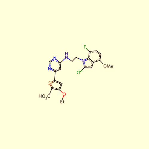 CCOc1cc(-c2cc(NCCn3c(Cl)cc4c(OC)ccc(F)c43)ncn2)sc1C(=O)O